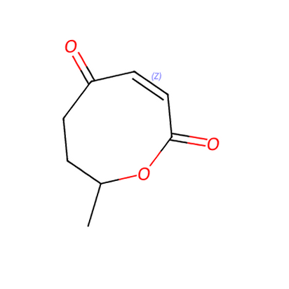 CC1CCC(=O)/C=C\C(=O)O1